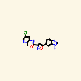 Cc1ncc(Cl)cc1NC(=O)c1cc(-c2ccc3nc[nH]c3c2)on1